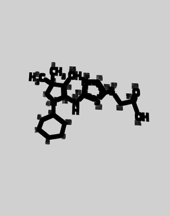 CC1(C)CN(C2CCCCC2)C(Nc2ncc(SCC(=O)O)s2)=C1O